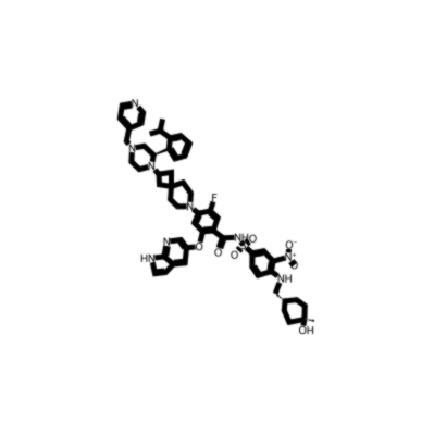 CC(C)c1ccccc1[C@@H]1CN(Cc2ccncc2)CCN1C1CC2(CCN(c3cc(Oc4cnc5[nH]ccc5c4)c(C(=O)NS(=O)(=O)c4ccc(NC[C@H]5CC[C@](C)(O)CC5)c([N+](=O)[O-])c4)cc3F)CC2)C1